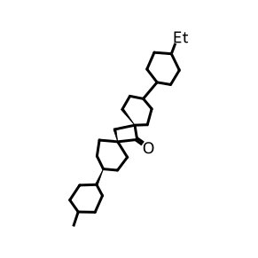 CCC1CCC(C2CC[C@]3(CC2)C[C@@]2(CC[C@H](C4CCC(C)CC4)CC2)C3=O)CC1